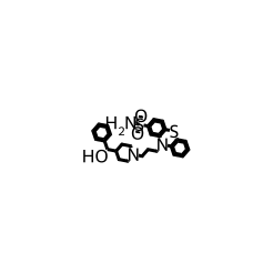 NS(=O)(=O)c1ccc2c(c1)N(CCCN1CCC(C(O)c3ccccc3)CC1)c1ccccc1S2